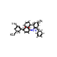 CC(C)(C)c1cc(-c2ccc(Nc3c(-c4ccccc4)cc(C(C)(C)C)cc3-c3ccccc3)cc2)cc(C(C)(C)C)c1